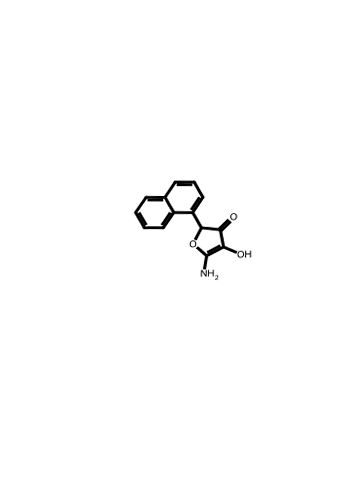 NC1=C(O)C(=O)C(c2cccc3ccccc23)O1